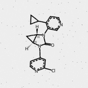 O=C1N(c2ccnc(Cl)c2)[C@H]2C[C@@H]2N1c1cnccc1C1CC1